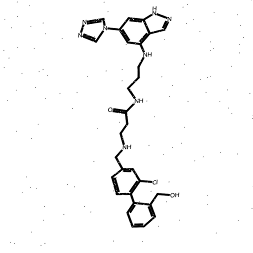 O=C(CCNCc1ccc(-c2ccccc2CO)c(Cl)c1)NCCCNc1cc(-n2cnnc2)cc2[nH]ncc12